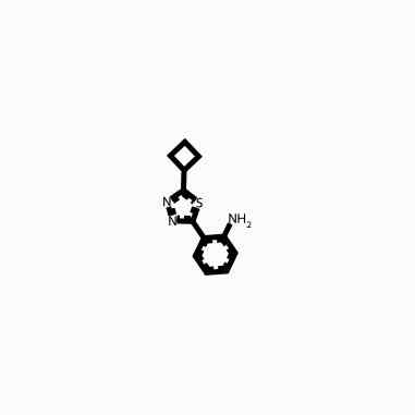 Nc1ccccc1-c1nnc(C2CCC2)s1